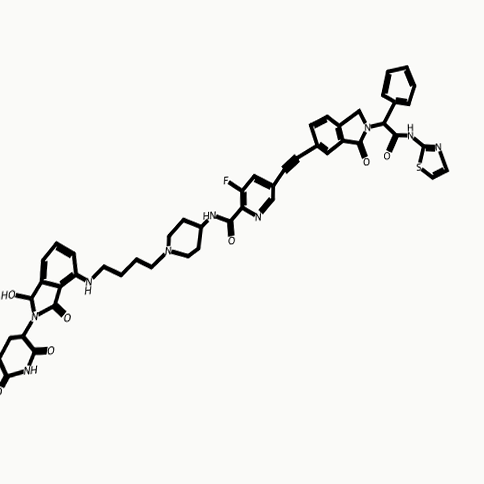 O=C1CCC(N2C(=O)c3c(NCCCCN4CCC(NC(=O)c5ncc(C#Cc6ccc7c(c6)C(=O)N(C(C(=O)Nc6nccs6)c6ccccc6)C7)cc5F)CC4)cccc3C2O)C(=O)N1